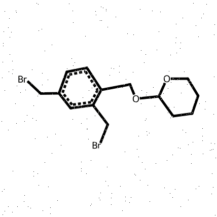 BrCc1ccc(COC2CCCCO2)c(CBr)c1